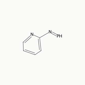 P=Nc1ccccn1